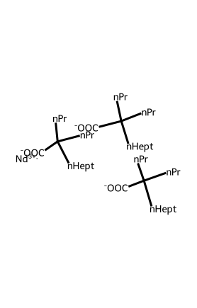 CCCCCCCC(CCC)(CCC)C(=O)[O-].CCCCCCCC(CCC)(CCC)C(=O)[O-].CCCCCCCC(CCC)(CCC)C(=O)[O-].[Nd+3]